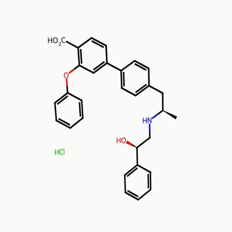 C[C@H](Cc1ccc(-c2ccc(C(=O)O)c(Oc3ccccc3)c2)cc1)NC[C@H](O)c1ccccc1.Cl